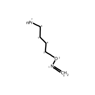 C=NOCCCCCCC